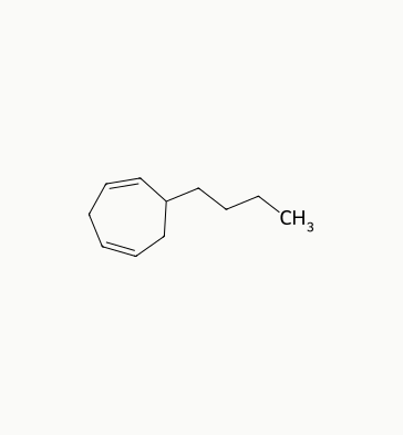 CCCCC1C=CCC=CC1